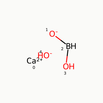 [Ca+2].[O-]BO.[OH-]